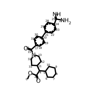 COC(=O)C(C1CCCCC1)C1CCN(C(=O)c2ccc(-c3ccc(C(=N)N)cc3)cc2)CC1